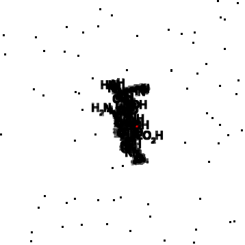 CCc1cc(OCCCCN)ccc1-c1ccc(C[C@H](NC(=O)[C@H](CC(=O)O)NC(=O)[C@H](C)NC(=O)[C@@H](NC(=O)[C@](C)(Cc2ccccc2F)NC(=O)[C@@H](NC(=O)CNC(=O)[C@H](Cc2nn[nH]n2)NC(=O)CCCCCc2cnc[nH]2)[C@@H](C)O)[C@@H](C)O)C(=O)N[C@@H](CCCc2cc(C)cc(C)c2)C(N)=O)cc1